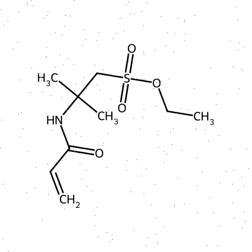 C=CC(=O)NC(C)(C)CS(=O)(=O)OCC